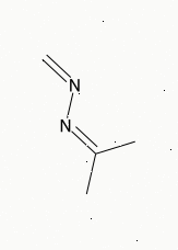 C=NN=C(C)C